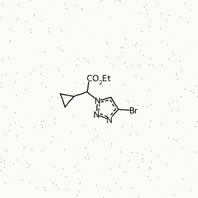 CCOC(=O)C(C1CC1)n1cc(Br)nn1